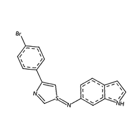 Brc1ccc(C2=CS(=Nc3ccc4cc[nH]c4c3)C=N2)cc1